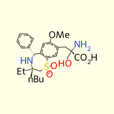 CCCC[C@]1(CC)CS(=O)(=O)c2cc(C[C@](N)(CO)C(=O)O)c(OC)cc2[C@@H](c2ccccc2)N1